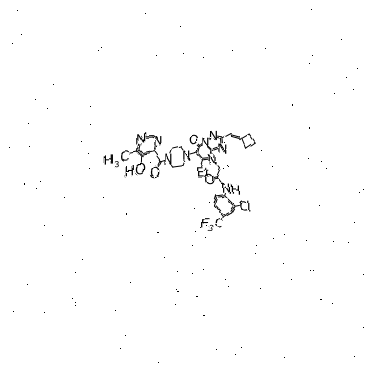 CCc1c(N2CCN(C(=O)c3ncnc(C)c3O)CC2)c(=O)n2nc(C=C3CCC3)nc2n1CC(=O)Nc1ccc(C(F)(F)F)cc1Cl